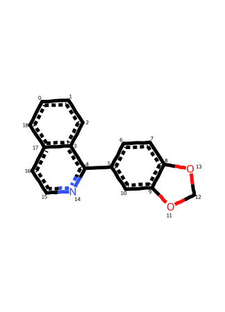 c1ccc2c(-c3ccc4c(c3)OCO4)nccc2c1